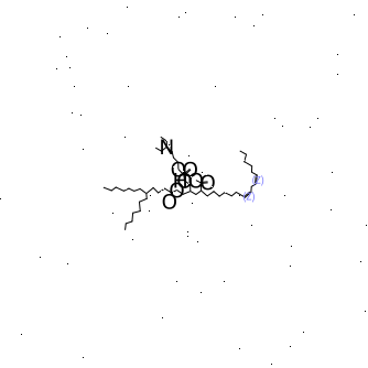 CCCCC/C=C\C/C=C\CCCCCCC(CC(COC(=O)CCCC(CCCCCCC)CCCCCCC)COC(=O)OCCCN(CC)CC)C(=O)O